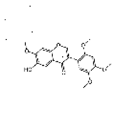 COc1cc2occ(-c3cc(OC)c(OC)cc3OC)c(=O)c2cc1O